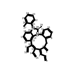 C=C/C=C1C(=C)Cc2ccccc2N2c3c(cccc3N(c3ccccc3C)[C@H]2C)/C(C=C)=C\1C=C